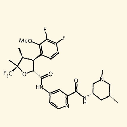 COc1c([C@H]2[C@H](C(=O)Nc3ccnc(C(=O)N[C@H]4C[C@@H](C)CN(C)C4)c3)O[C@@](C)(C(F)(F)F)[C@H]2C)ccc(F)c1F